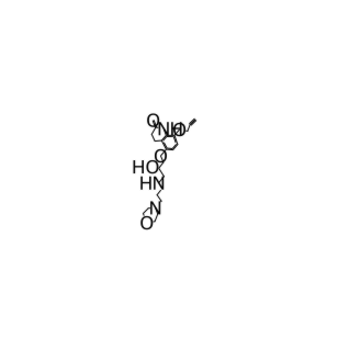 C#CCOc1ccc(OCC(O)CNCCCN2CCOCC2)c2c1NC(=O)CC2